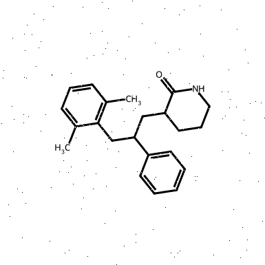 Cc1cccc(C)c1CC(CC1CCCNC1=O)c1ccccc1